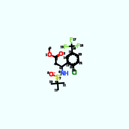 COC(=O)C[C@H](N[S+]([O-])C(C)(C)C)c1cc(C(F)(F)F)ccc1Cl